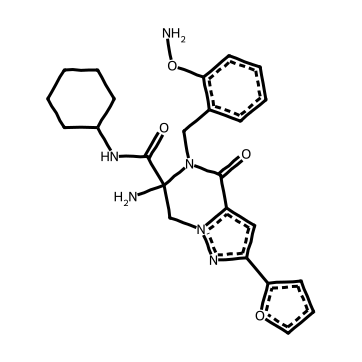 NOc1ccccc1CN1C(=O)c2cc(-c3ccco3)nn2CC1(N)C(=O)NC1CCCCC1